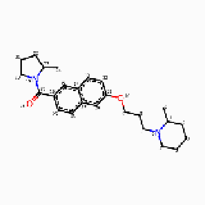 CC1CCCCN1CCCOc1ccc2cc(C(=O)N3CCCC3C)ccc2c1